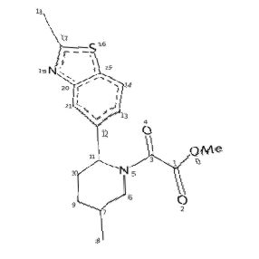 COC(=O)C(=O)N1CC(C)CCC1c1ccc2sc(C)nc2c1